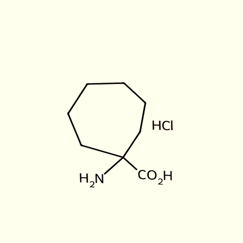 Cl.NC1(C(=O)O)CCCCCC1